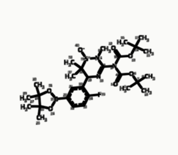 CN1C(N(C(=O)OC(C)(C)C)C(=O)OC(C)(C)C)=NC(c2cc(B3OC(C)(C)C(C)(C)O3)ccc2F)C(C)(C)[S+]1[O-]